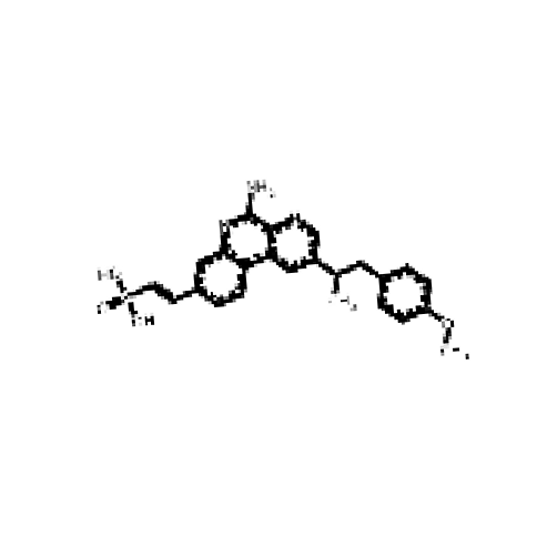 COc1ccc(CC(C)c2cnc3c(N)nc4cc(C=CP(=O)(O)O)ccc4c3c2)cc1